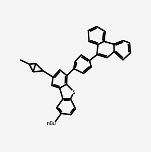 CCCCc1ccc2sc3c(-c4ccc(-c5cc6ccccc6c6ccccc56)cc4)cc(C4C5C(C)C45)cc3c2c1